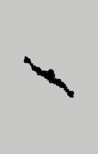 C=CC(=O)OCCCCCCOc1ccc(OC(=O)C2CCC(C(=O)Oc3ccc(OC(=O)C4CCC(C(=O)Oc5ccc(OCCCCCCOC(=O)C=C)cc5)CC4)c(C(=O)N4CCCCC4)c3)CC2)cc1